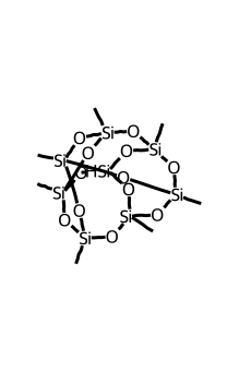 C[Si]12O[SiH]3O[Si]4(C)O[Si](C)(O1)O[Si]1(C)O[Si](C)(O2)O[Si](C)(O3)O[Si](C)(O4)O1